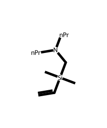 C=C[Si](C)(C)CN(CCC)CCC